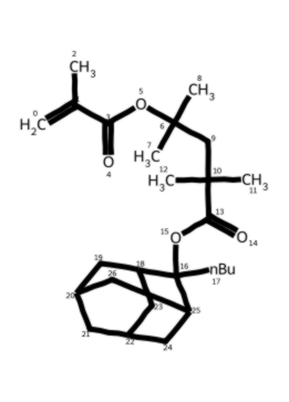 C=C(C)C(=O)OC(C)(C)CC(C)(C)C(=O)OC1(CCCC)C2CC3CC(C2)CC1C3